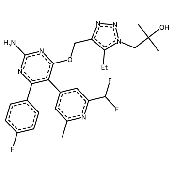 CCc1c(COc2nc(N)nc(-c3ccc(F)cc3)c2-c2cc(C)nc(C(F)F)c2)nnn1CC(C)(C)O